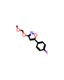 COCOc1cc(-c2ccc(I)cc2)on1